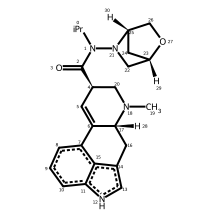 CC(C)N(C(=O)[C@@H]1C=C2c3cccc4[nH]cc(c34)C[C@H]2N(C)C1)N1C[C@@H]2C[C@H]1CO2